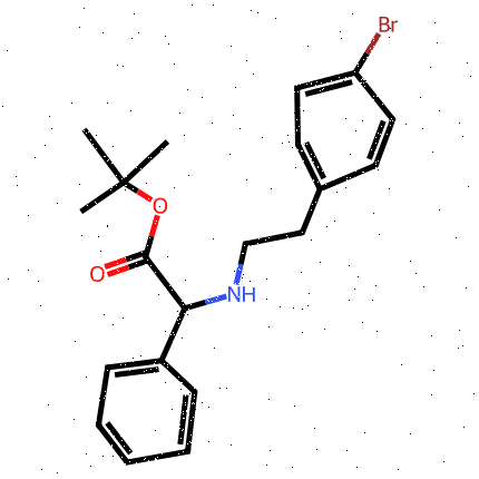 CC(C)(C)OC(=O)C(NCCc1ccc(Br)cc1)c1ccccc1